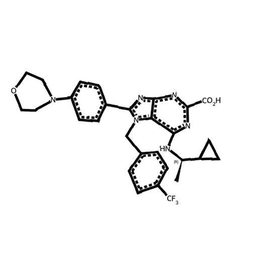 C[C@@H](Nc1nc(C(=O)O)nc2nc(-c3ccc(N4CCOCC4)cc3)n(Cc3ccc(C(F)(F)F)cc3)c12)C1CC1